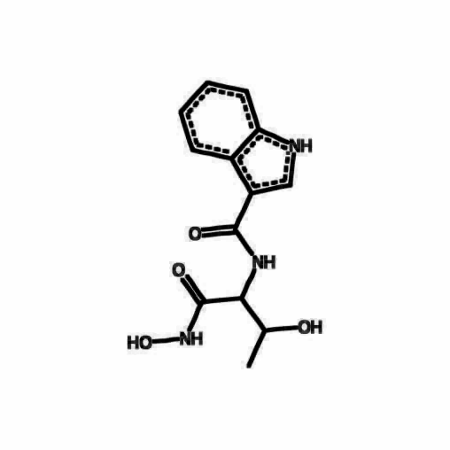 CC(O)C(NC(=O)c1c[nH]c2ccccc12)C(=O)NO